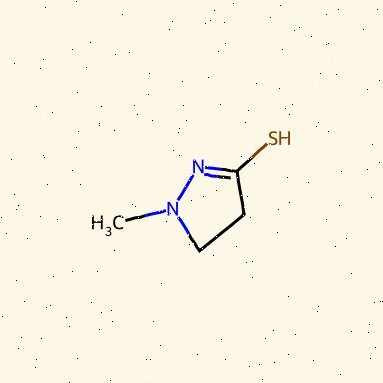 CN1CCC(S)=N1